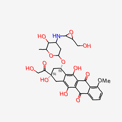 COc1cccc2c1C(=O)c1c(O)c3c(c(O)c1C2=O)C[C@@](O)(C(=O)CO)C[C@@H]3OC1CC(NC2OC2CO)C(O)C(C)O1